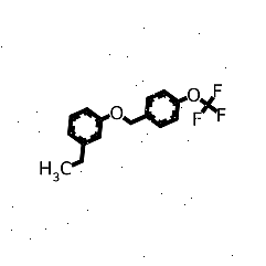 CCc1cccc(OCc2ccc(OC(F)(F)F)cc2)c1